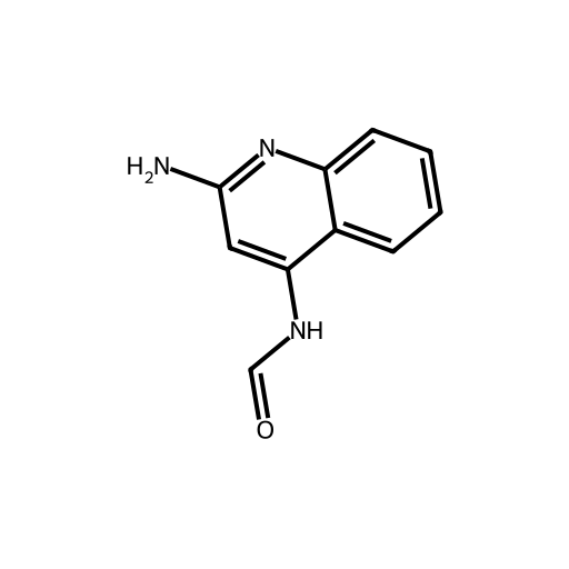 Nc1cc(NC=O)c2ccccc2n1